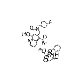 C[C@H](CN(C)C(=O)c1c2c(c(O)c3ncccc13)C(=O)N(Cc1ccc(F)cc1)C2)OCP(=O)(N[C@@H](C)C=O)Oc1ccccc1